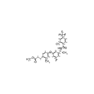 COC(=O)CCc1ccc(Oc2cc(F)cc([C@@H](C)NC(=O)c3ccc(C(F)(F)F)cc3Cl)c2)cc1C